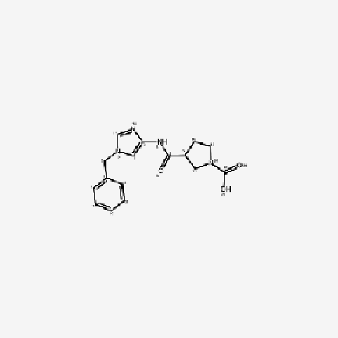 O=C(Nc1cn(Cc2ccccc2)cn1)C1CCN(C(=O)O)C1